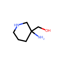 NC1(CO)CCCNC1